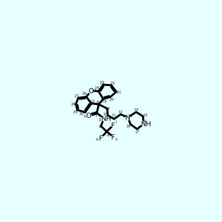 O=C(NCC(F)(F)F)C1(CCCCN2CCNCC2)c2ccccc2Oc2ccccc21